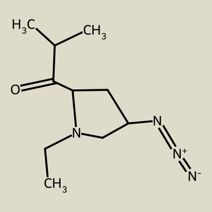 CCN1CC(N=[N+]=[N-])CC1C(=O)C(C)C